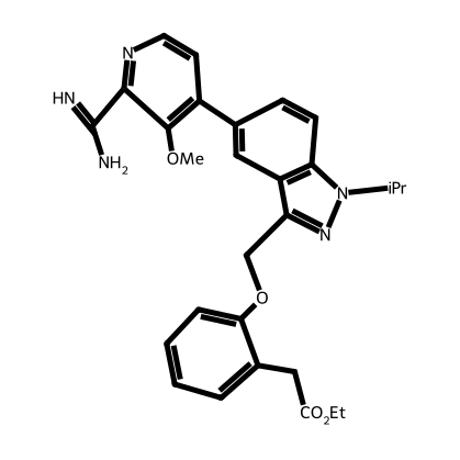 CCOC(=O)Cc1ccccc1OCc1nn(C(C)C)c2ccc(-c3ccnc(C(=N)N)c3OC)cc12